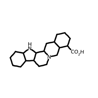 O=C(O)C1CCCC2CC3C4NC5CCCCC5C4CCN3CC21